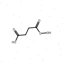 O=C(O)CCC(=O)OO